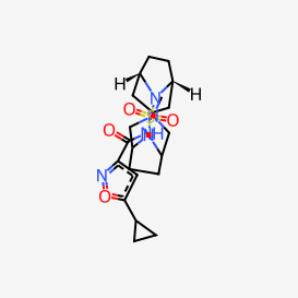 CN1CC2CCC(C1)N2S(=O)(=O)N1[C@@H]2CC[C@H]1C[C@@H](NC(=O)c1cc(C3CC3)on1)C2